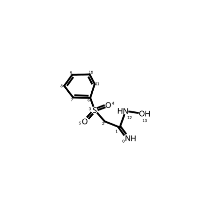 N=C(CS(=O)(=O)c1ccccc1)NO